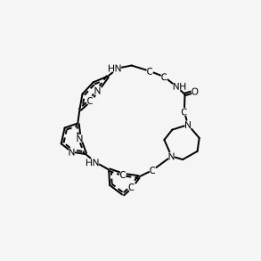 O=C1CN2CCCN(CC2)Cc2cccc(c2)Nc2nccc(n2)-c2ccc(nc2)NCCCN1